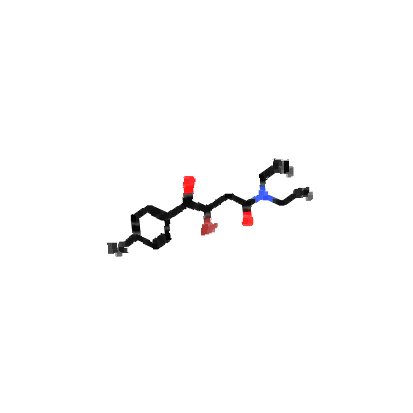 CCN(CC)C(=O)CC(Br)C(=O)c1ccc(C)cc1